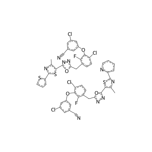 Cc1nc(-c2ccccn2)sc1-c1nnc(Cc2ccc(Cl)c(Oc3cc(Cl)cc(C#N)c3)c2F)o1.Cc1nc(-c2cccs2)sc1-c1nnc(Cc2ccc(Cl)c(Oc3cc(Cl)cc(C#N)c3)c2F)o1